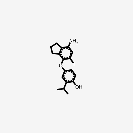 CC(C)c1cc(Oc2c(I)cc(N)c3c2CCC3)ccc1O